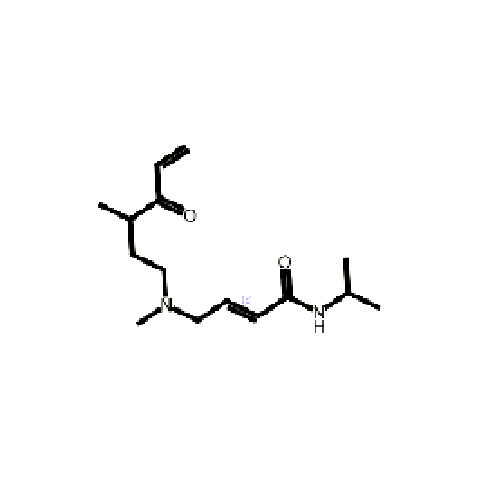 C=CC(=O)C(C)CCN(C)C/C=C/C(=O)NC(C)C